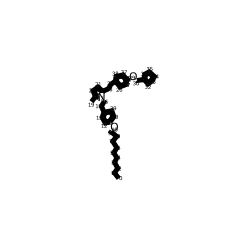 CCCCCCCCCCOc1ccc(CCn2c(C)ccc2CCc2ccc(OCc3ccccc3)cc2)cc1